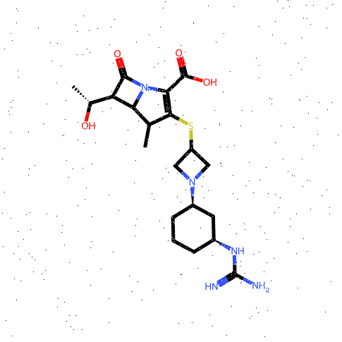 CC1C(SC2CN([C@@H]3CCC[C@H](NC(=N)N)C3)C2)=C(C(=O)O)N2C(=O)C([C@@H](C)O)C12